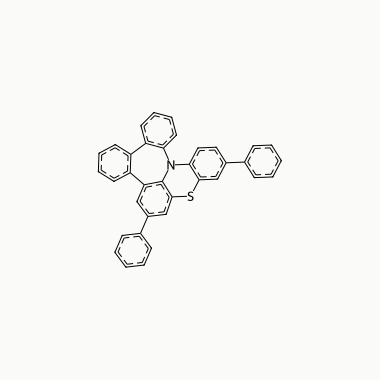 c1ccc(-c2ccc3c(c2)Sc2cc(-c4ccccc4)cc4c2N3c2ccccc2-c2ccccc2-4)cc1